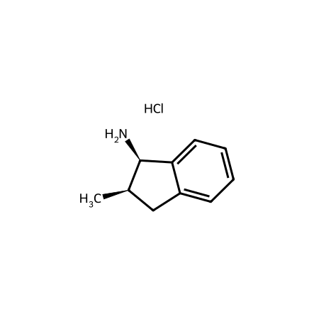 C[C@@H]1Cc2ccccc2[C@@H]1N.Cl